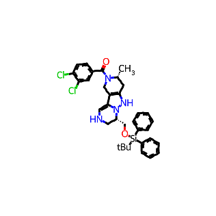 C[C@@H]1CC2=C(CN1C(=O)c1ccc(Cl)c(Cl)c1)C1=CNC[C@@H](CO[Si](c3ccccc3)(c3ccccc3)C(C)(C)C)N1N2